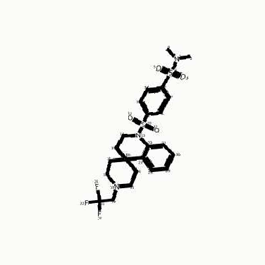 CN(C)S(=O)(=O)c1ccc(S(=O)(=O)N2CCC3(CCN(CC(F)(F)F)CC3)c3ccccc32)cc1